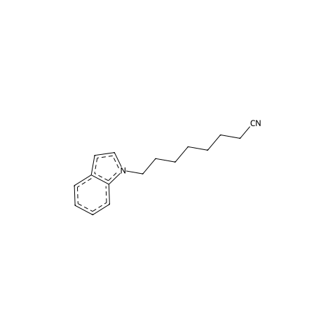 N#CCCCCCCCn1ccc2ccccc21